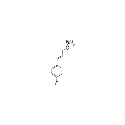 NOCC=Cc1ccc(F)cc1